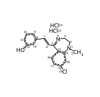 CN1CCN=C(C=Cc2cccc(O)c2)c2ccc(Cl)cc21.Cl.Cl